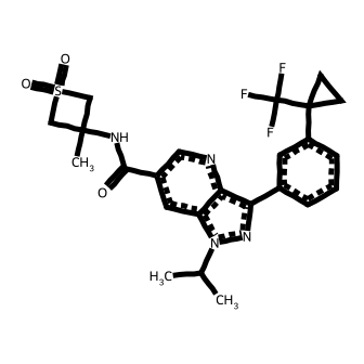 CC(C)n1nc(-c2cccc(C3(C(F)(F)F)CC3)c2)c2ncc(C(=O)NC3(C)CS(=O)(=O)C3)cc21